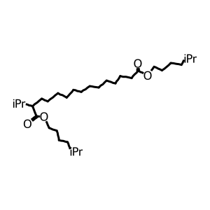 CC(C)CCCCOC(=O)CCCCCCCCCCCCC(C(=O)OCCCCC(C)C)C(C)C